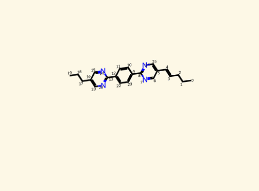 CCCC=Cc1cnc(-c2ccc(-c3ncc(CCC)cn3)cc2)nc1